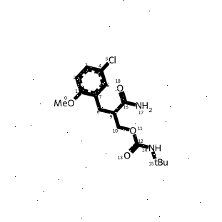 COc1ccc(Cl)cc1CC(COC(=O)NC(C)(C)C)C(N)=O